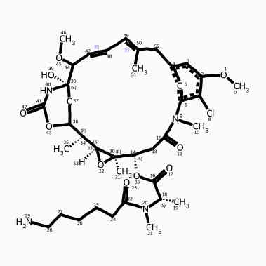 COc1cc2cc(c1Cl)N(C)C(=O)C[C@H](OC(=O)[C@H](C)N(C)C(=O)CCCCCN)[C@@]1(C)O[C@H]1[C@H](C)C1C[C@@](O)(NC(=O)O1)C(OC)/C=C/C=C(\C)C2